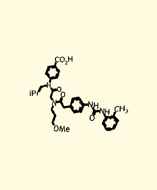 COCCCN(CC(=O)N(CC(C)C)c1ccc(C(=O)O)cc1)C(=O)Cc1ccc(NC(=O)Nc2ccccc2C)cc1